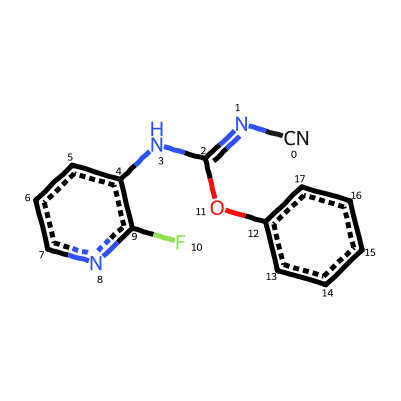 N#C/N=C(/Nc1cccnc1F)Oc1ccccc1